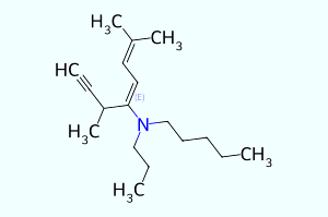 C#CC(C)/C(=C\C=C(C)C)N(CCC)CCCCC